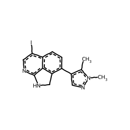 Cc1c(-c2ccc3c(I)cnc4c3c2CN4)cnn1C